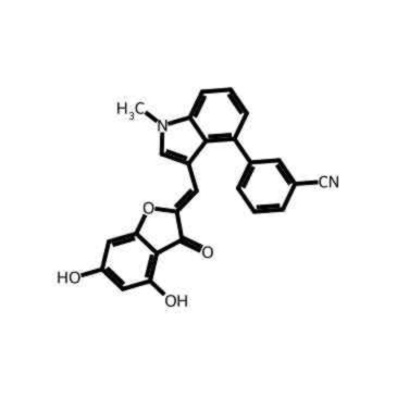 Cn1cc(/C=C2\Oc3cc(O)cc(O)c3C2=O)c2c(-c3cccc(C#N)c3)cccc21